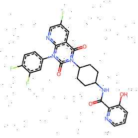 O=C(NC1CCC(n2c(=O)c3cc(F)cnc3n(-c3ccc(F)c(F)c3)c2=O)CC1)c1ncccc1O